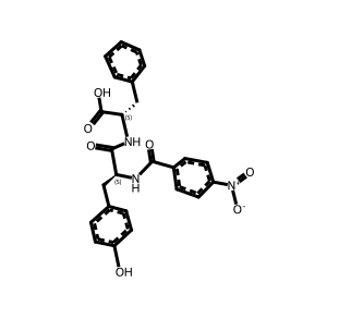 O=C(N[C@@H](Cc1ccc(O)cc1)C(=O)N[C@@H](Cc1ccccc1)C(=O)O)c1ccc([N+](=O)[O-])cc1